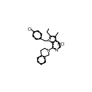 CCc1c(C)c2ccnc(N3CCc4ccccc4C3)c2n1Cc1ccc(Cl)cc1.Cl